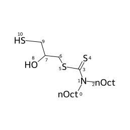 CCCCCCCCN(CCCCCCCC)C(=S)SCC(O)CS